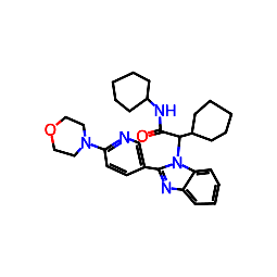 O=C(NC1CCCCC1)C(C1CCCCC1)n1c(-c2ccc(N3CCOCC3)nc2)nc2ccccc21